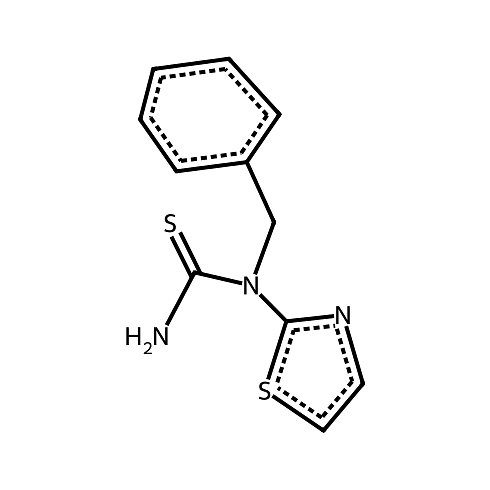 NC(=S)N(Cc1ccccc1)c1nccs1